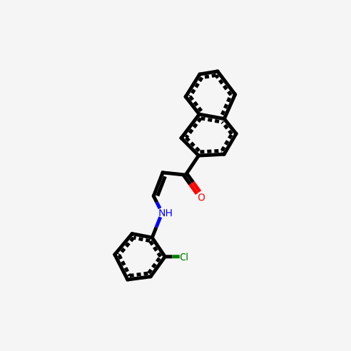 O=C(/C=C\Nc1ccccc1Cl)c1ccc2ccccc2c1